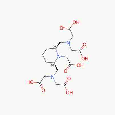 O=C(O)CN(CC(=O)O)C[C@H]1CCC[C@@H](CN(CC(=O)O)CC(=O)O)N1CC(=O)O